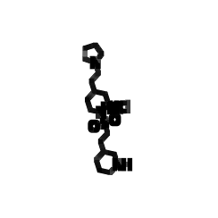 Cl.Cl.O=S(=O)(CCC1CCCNC1)N1CCC(CCN2CCCC2)CC1